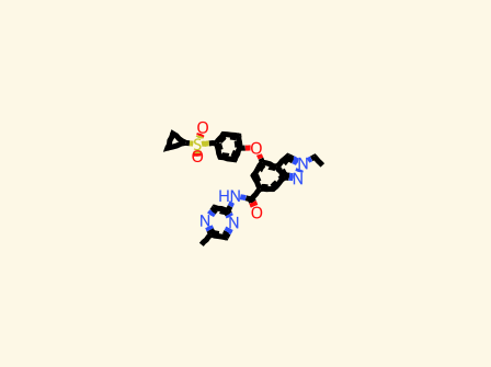 CCn1cc2c(Oc3ccc(S(=O)(=O)C4CC4)cc3)cc(C(=O)Nc3cnc(C)cn3)cc2n1